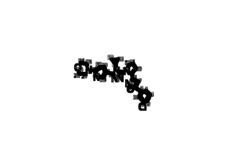 Clc1cccc(-c2cc(C3CCCN3c3nnc(-c4ccc(N5CCOCC5)nc4)n3C3CC3)no2)c1